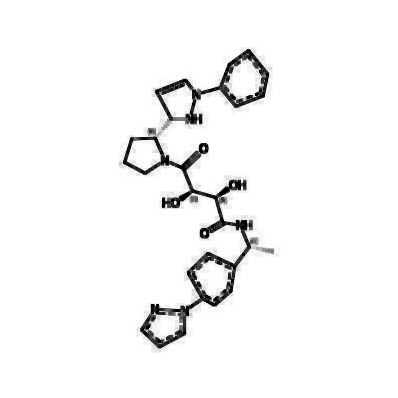 C[C@@H](NC(=O)[C@H](O)[C@@H](O)C(=O)N1CCC[C@@H]1C1C=CN(c2ccccc2)N1)c1ccc(-n2cccn2)cc1